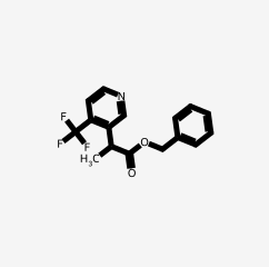 CC(C(=O)OCc1ccccc1)c1cnccc1C(F)(F)F